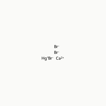 [Br-].[Br-].[Br-].[Ca+2].[Hg+]